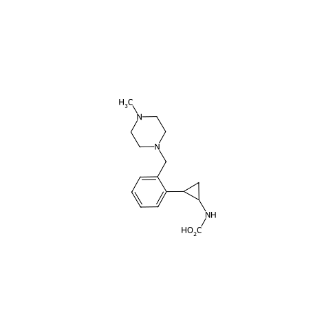 CN1CCN(Cc2ccccc2C2CC2NC(=O)O)CC1